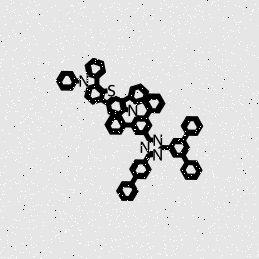 C1=CCC(c2cc(-c3ccccc3)cc(-c3nc(-c4cc(-c5ccccc5)c(-n5c6ccccc6c6c7sc8c(ccc9c8c8ccccc8n9-c8ccccc8)c7ccc65)c(-c5ccccc5)c4)nc(C4C=CC(c5ccccc5)=CC4)n3)c2)C=C1